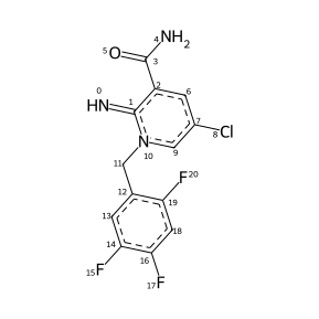 N=c1c(C(N)=O)cc(Cl)cn1Cc1cc(F)c(F)cc1F